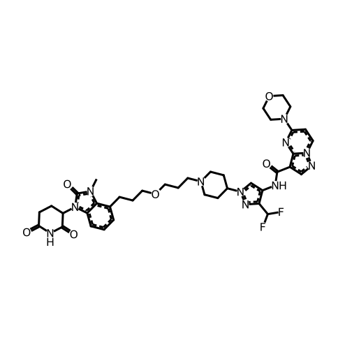 Cn1c(=O)n(C2CCC(=O)NC2=O)c2cccc(CCCOCCCN3CCC(n4cc(NC(=O)c5cnn6ccc(N7CCOCC7)nc56)c(C(F)F)n4)CC3)c21